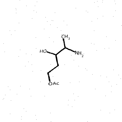 CC(=O)OCCC(O)C(C)N